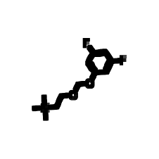 C[Si](C)(C)CCOCOc1cc(F)cc(F)c1